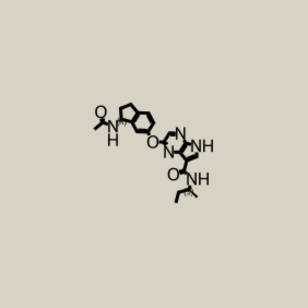 CC[C@H](C)NC(=O)c1c[nH]c2ncc(Oc3ccc4c(c3)[C@H](NC(C)=O)CC4)nc12